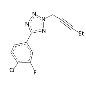 CCC#CCn1nnc(-c2ccc(Cl)c(F)c2)n1